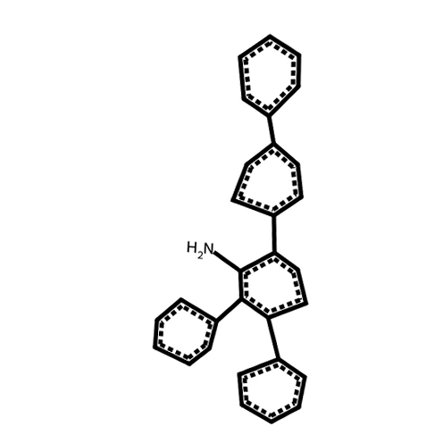 Nc1c(-c2ccc(-c3ccccc3)cc2)ccc(-c2ccccc2)c1-c1ccccc1